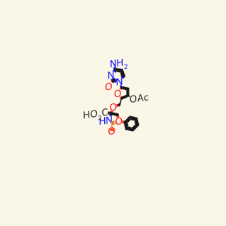 CC(=O)O[C@H]1C[C@H](n2ccc(N)nc2=O)O[C@@H]1COC(COc1ccccc1)(NP=O)C(=O)O